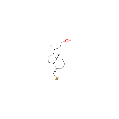 C[C@H](CCO)[C@H]1CCC2C(=CBr)CCC[C@]21C